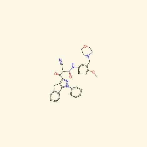 COc1ccc(NC(=O)C(C#N)C(=O)c2nn(-c3ccccc3)c3c2Cc2ccccc2-3)cc1CN1CCOCC1